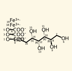 O=C([O-])[O-].O=C([O-])[O-].O=C([O-])[O-].OC[C@@H](O)[C@@H](O)[C@H](O)[C@@H](O)CO.[Fe+3].[Fe+3]